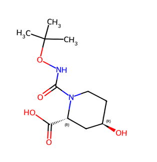 CC(C)(C)ONC(=O)N1CC[C@@H](O)C[C@@H]1C(=O)O